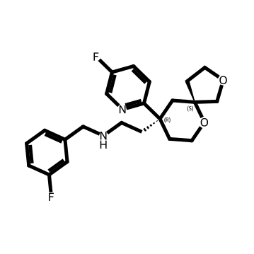 Fc1ccc([C@]2(CCNCc3cccc(F)c3)CCO[C@]3(CCOC3)C2)nc1